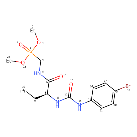 CCOP(=O)(CNC(=O)[C@H](CC(C)C)NC(=O)Nc1ccc(Br)cc1)OCC